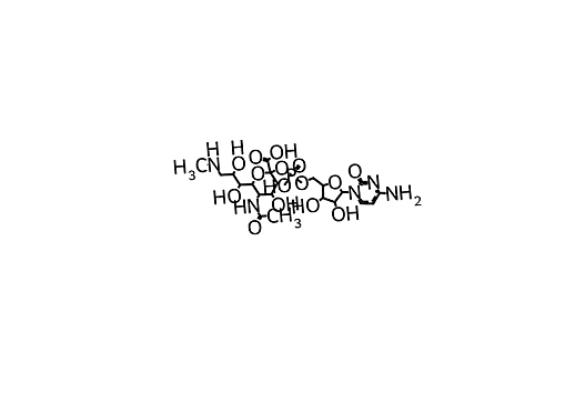 CNCC(O)C(O)C1OC(OP(=O)(O)OCC2OC(n3ccc(N)nc3=O)C(O)C2O)(C(=O)O)CC(O)C1NC(C)=O